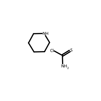 C1CCNCC1.NC(=S)Cl